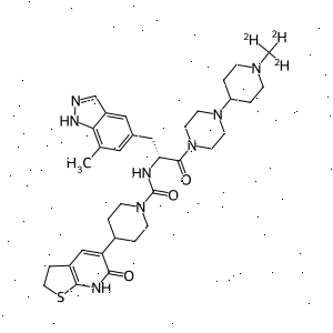 [2H]C([2H])([2H])N1CCC(N2CCN(C(=O)[C@@H](Cc3cc(C)c4[nH]ncc4c3)NC(=O)N3CCC(c4cc5c([nH]c4=O)SCC5)CC3)CC2)CC1